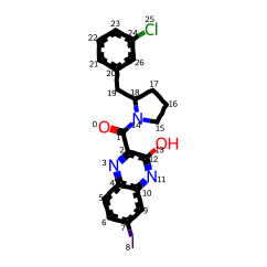 O=C(c1nc2ccc(I)cc2nc1O)N1CCCC1Cc1cccc(Cl)c1